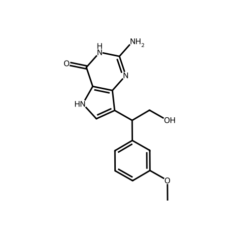 COc1cccc(C(CO)c2c[nH]c3c(=O)[nH]c(N)nc23)c1